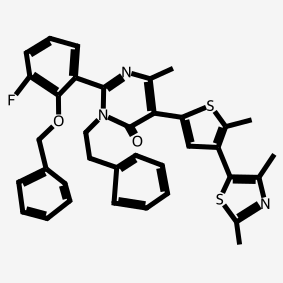 Cc1nc(C)c(-c2cc(-c3c(C)nc(-c4cccc(F)c4OCc4ccccc4)n(CCc4ccccc4)c3=O)sc2C)s1